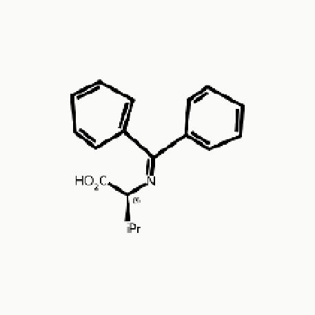 CC(C)[C@H](N=C(c1ccccc1)c1ccccc1)C(=O)O